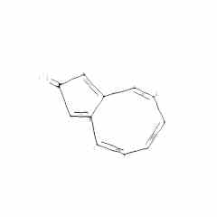 O=c1cc2ccccccc-2c1